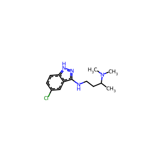 CC(CCNc1n[nH]c2ccc(Cl)cc12)N(C)C